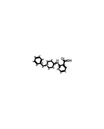 O=C(O)c1cccnc1NC1CCN(Cc2ccccc2)CC1